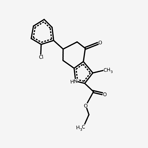 CCOC(=O)c1[nH]c2c(c1C)C(=O)CC(c1ccccc1Cl)C2